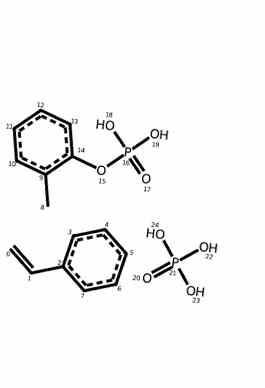 C=Cc1ccccc1.Cc1ccccc1OP(=O)(O)O.O=P(O)(O)O